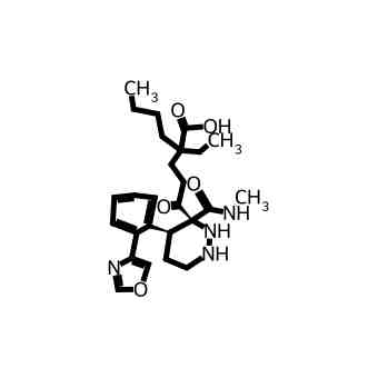 CCCCC(CC)(CCC(=O)[C@@]1(C(=O)NC)NNCC[C@H]1c1ccccc1-c1cocn1)C(=O)O